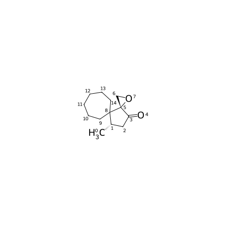 C[C@H]1CC(=O)[C@]2(CO2)C12CCCCCC2